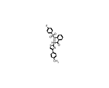 Cc1ccc(-c2csc(NC(=O)c3ccccc3NS(=O)(=O)c3ccc(F)cc3)n2)cc1